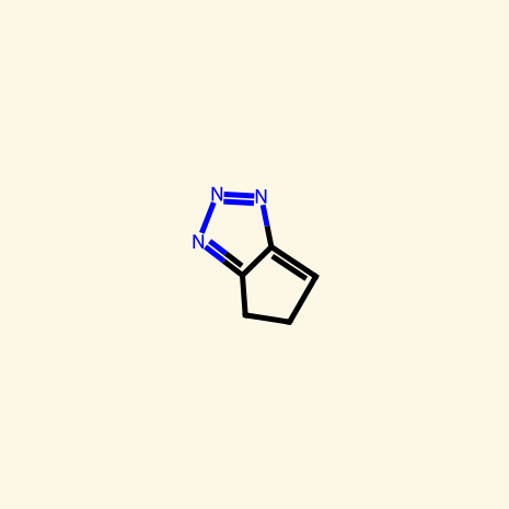 C1=C2N=NN=C2CC1